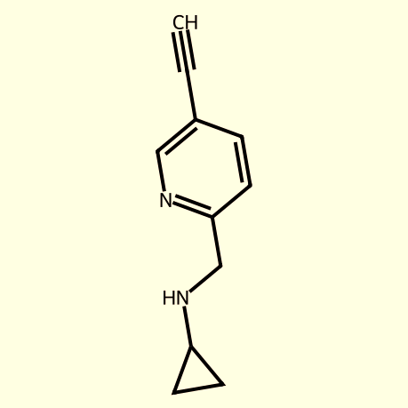 C#Cc1ccc(CNC2CC2)nc1